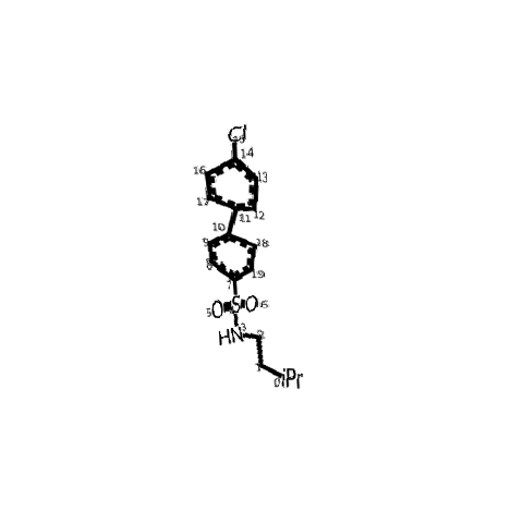 CC(C)C[CH]NS(=O)(=O)c1ccc(-c2ccc(Cl)cc2)cc1